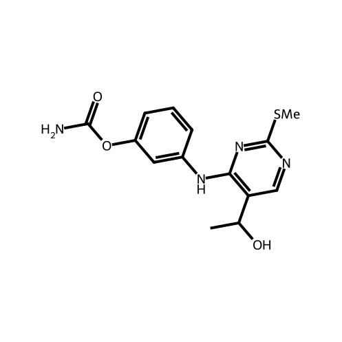 CSc1ncc(C(C)O)c(Nc2cccc(OC(N)=O)c2)n1